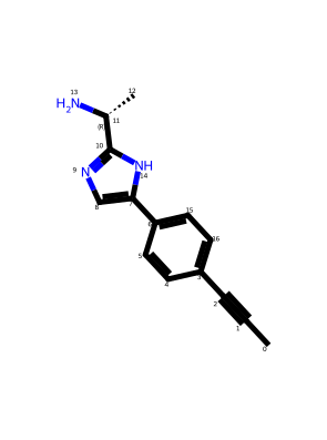 CC#Cc1ccc(-c2cnc([C@@H](C)N)[nH]2)cc1